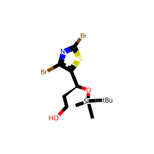 CC(C)(C)[Si](C)(C)O[C@@H](CCO)c1sc(Br)nc1Br